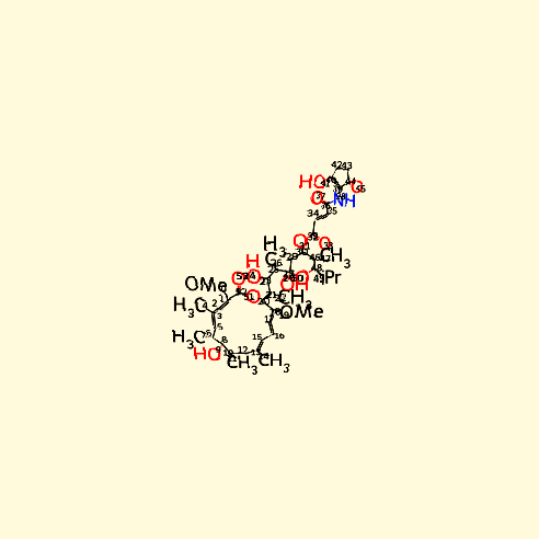 CO/C1=C\C(C)=C\[C@@H](C)[C@@H](O)[C@@H](C)C/C(C)=C/C=C/[C@H](OC)[C@@H]([C@@H](C)[C@@H](O)[C@H](C)[C@@]2(O)C[C@@H](OC(=O)/C=C/C(=O)NC3=C(O)CCC3=O)[C@H](C)[C@@H](C(C)C)O2)OC1=O